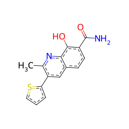 Cc1nc2c(O)c(C(N)=O)ccc2cc1-c1cccs1